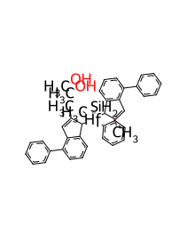 CC1=Cc2c(-c3ccccc3)cccc2[CH]1[Hf]([CH3])(=[SiH2])([c]1ccccc1)[CH]1C(C)=Cc2c(-c3ccccc3)cccc21.CO.CO